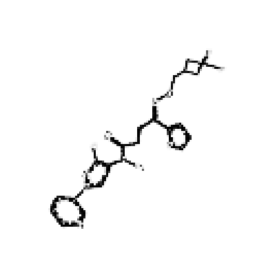 CCN(C(=O)CC/C(=N/OCC1CC(F)(F)C1)c1cccs1)c1cn(-c2cccnc2)nc1Cl